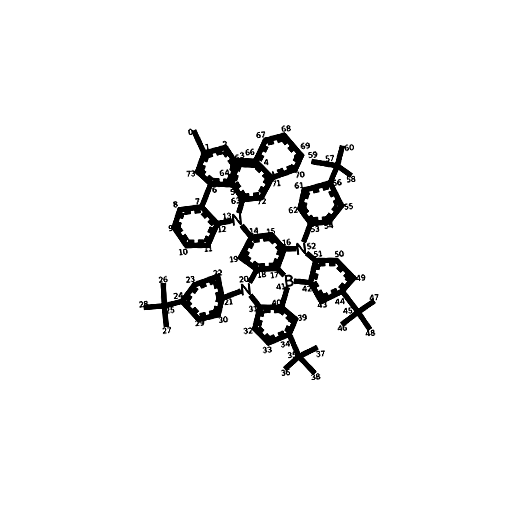 Cc1cc(C)cc(-c2ccccc2N(c2cc3c4c(c2)N(c2ccc(C(C)(C)C)cc2)c2ccc(C(C)(C)C)cc2B4c2cc(C(C)(C)C)ccc2N3c2ccc(C(C)(C)C)cc2)c2ccc3ccccc3c2)c1